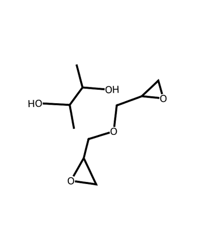 C(OCC1CO1)C1CO1.CC(O)C(C)O